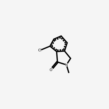 CN1Cc2cccc(Cl)c2C1=O